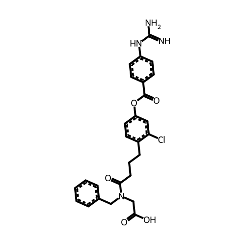 N=C(N)Nc1ccc(C(=O)Oc2ccc(CCCC(=O)N(CC(=O)O)Cc3ccccc3)c(Cl)c2)cc1